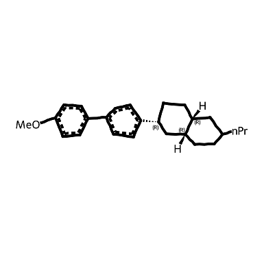 CCCC1CC[C@@H]2C[C@H](c3ccc(-c4ccc(OC)cc4)cc3)CC[C@@H]2C1